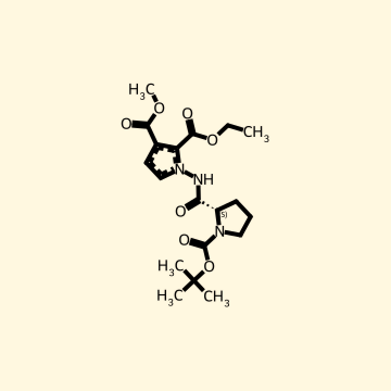 CCOC(=O)c1c(C(=O)OC)ccn1NC(=O)[C@@H]1CCCN1C(=O)OC(C)(C)C